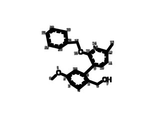 COc1ccc(CO)c(-c2ccc(C)nc2OCc2ccccc2)c1